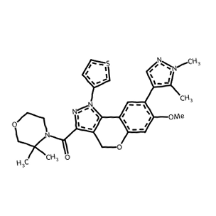 COc1cc2c(cc1-c1cnn(C)c1C)-c1c(c(C(=O)N3CCOCC3(C)C)nn1-c1ccsc1)CO2